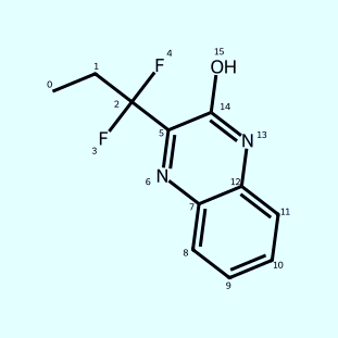 CCC(F)(F)c1nc2ccccc2nc1O